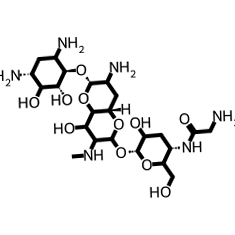 CNC1C(O[C@H]2OC(CO)[C@@H](NC(=O)CN)CC2O)O[C@H]2CC(N)[C@@H](O[C@@H]3C(N)C[C@@H](N)C(O)[C@H]3O)OC2C1O